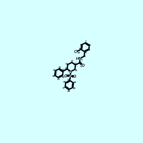 O=C(NCc1ccccc1Cl)C1CCC(c2ccccc2)N(S(=O)(=O)c2ccccc2)C1